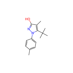 Cc1ccc(-n2nc(O)c(C)c2C(C)(C)C)cc1